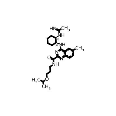 CC(=N)N[C@@H]1CCCC[C@@H]1Nc1nc(C(=O)NCCCOC(C)C)nc2ccc(C)cc12